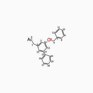 CC(=O)Cc1cc(OCc2ccccc2)cc(-c2ccccc2)c1